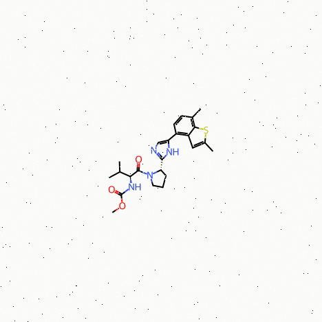 COC(=O)N[C@H](C(=O)N1CCC[C@H]1c1ncc(-c2ccc(C)c3sc(C)cc23)[nH]1)C(C)C